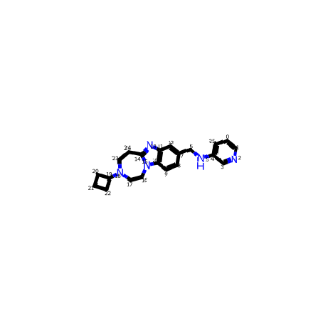 c1cncc(NCc2ccc3c(c2)nc2n3CCN(C3CCC3)CC2)c1